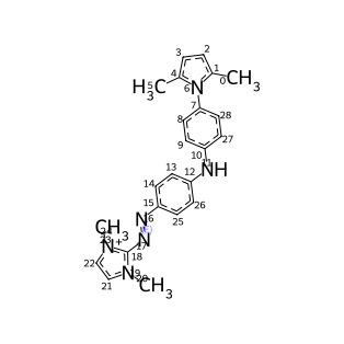 Cc1ccc(C)n1-c1ccc(Nc2ccc(/N=N/c3n(C)cc[n+]3C)cc2)cc1